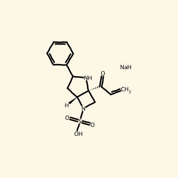 C=CC(=O)[C@]12CN(S(=O)(=O)O)[C@@H]1CC(c1ccccc1)N2.[NaH]